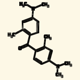 Cc1cc(N(C)C)ccc1C(=O)c1ccc(N(C)C)cc1C